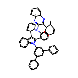 CC1C=CC=CC1C1=NC2C=CC=C[C@]2(C)N=C1Nc1ccccc1-c1c(C2C=CC=CC2)c2ccccc2n1-c1cc(-c2ccccc2)cc(-c2ccccc2)c1